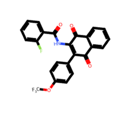 O=C(NC1=C(c2ccc(OC(F)(F)F)cc2)C(=O)c2ccccc2C1=O)c1ccccc1F